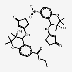 CC1(C)Oc2ccc([N+](=O)[O-])cc2C(NC2=CC(=O)CC2)C1(C)O.CCOC(=O)c1ccc2c(c1)C(NC1=CC(=O)CC1)C(C)(O)C(C)(C)O2